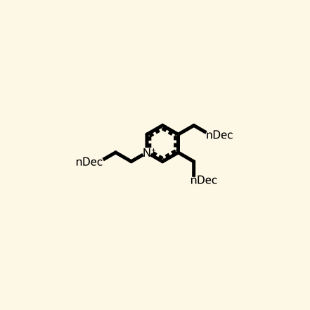 CCCCCCCCCCCC[n+]1ccc(CCCCCCCCCCC)c(CCCCCCCCCCC)c1